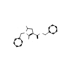 CC1=C(C(=O)OCc2ccccc2)CC(C)N1[C@@H](C)c1ccccc1